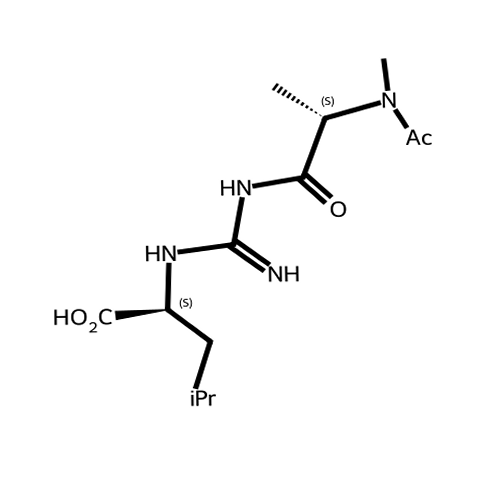 CC(=O)N(C)[C@@H](C)C(=O)NC(=N)N[C@@H](CC(C)C)C(=O)O